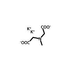 CN(CC(=O)[O-])CC(=O)[O-].[K+].[K+]